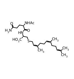 CC(=O)N[C@H](CCC(N)=O)C(=O)N[C@@H](CSCC=C(C)CCC=C(C)CCC=C(C)C)C(=O)O